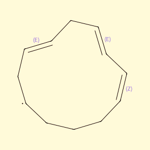 [CH]1C/C=C/C/C=C/C=C\CCC1